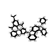 CC(C)c1cc(C(C)C)c(B2c3ccccc3Oc3cc(-n4c5ccccc5c5c6c7ccccc7n(-c7ccccc7)c6ccc54)ccc32)c(C(C)C)c1